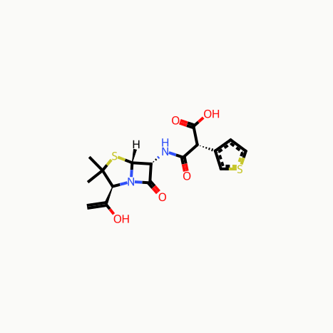 C=C(O)[C@@H]1N2C(=O)[C@@H](NC(=O)[C@H](C(=O)O)c3ccsc3)[C@H]2SC1(C)C